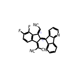 N#C/C=C1/C(=C2/c3ccccc3-c3ncccc32)C(=C(C#N)C#N)c2ccc(F)c(F)c21